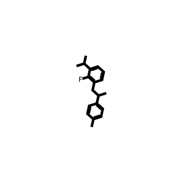 Cc1ccc(C(C)Cc2cccc(C(C)C)c2F)cc1